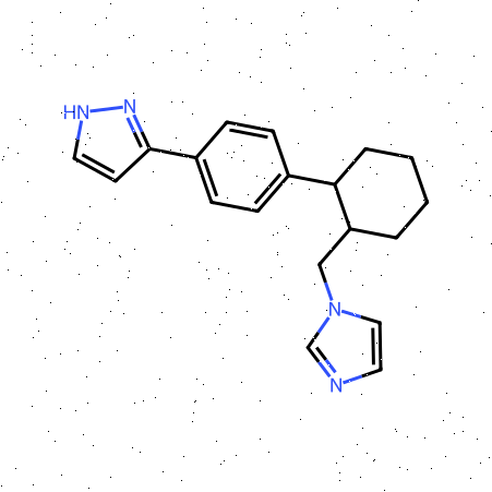 c1cn(CC2CCCCC2c2ccc(-c3cc[nH]n3)cc2)cn1